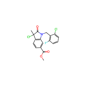 COC(=O)c1ccc2c(c1)N(Cc1c(F)cccc1Cl)C(=O)C2(C)Cl